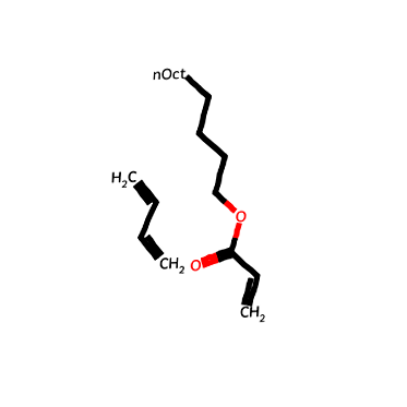 C=CC(=O)OCCCCCCCCCCCC.C=CC=C